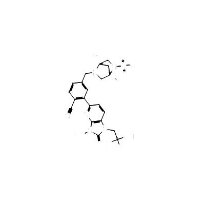 Cn1c(=O)n(CC(C)(C)C)c2ccc(-c3cc(CN4C[C@H]5C[C@@H]4CN5S(C)(=O)=O)ccc3C#N)nc21